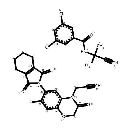 C#CC(C)(C)NC(=O)c1cc(Cl)cc(Cl)c1.C#CCN1C(=O)COc2cc(F)c(N3C(=O)C4=C(CCCC4)C3=O)cc21